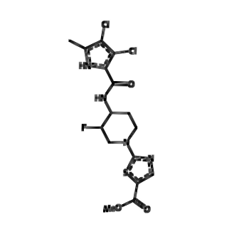 COC(=O)c1cnc(N2CCC(NC(=O)c3[nH]c(C)c(Cl)c3Cl)C(F)C2)s1